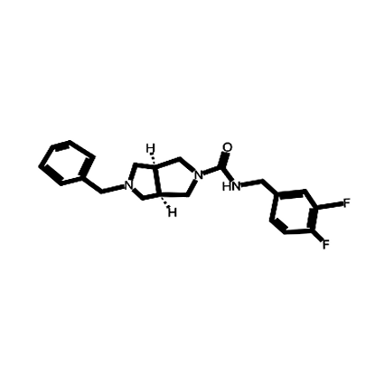 O=C(NCc1ccc(F)c(F)c1)N1C[C@H]2CN(Cc3ccccc3)C[C@H]2C1